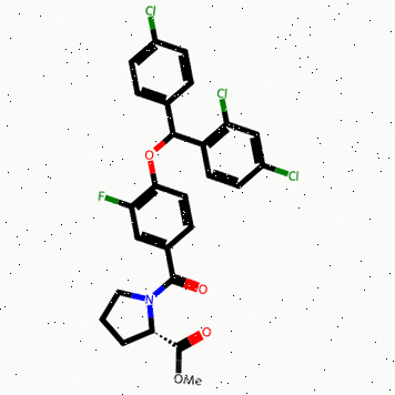 COC(=O)[C@@H]1CCCN1C(=O)c1ccc(OC(c2ccc(Cl)cc2)c2ccc(Cl)cc2Cl)c(F)c1